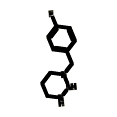 Fc1ccc(CN2CCCNN2)cc1